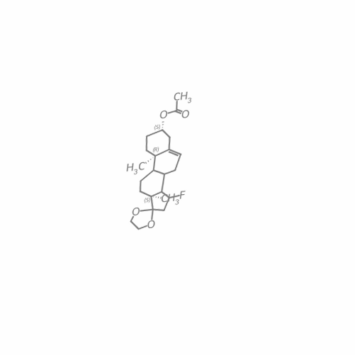 CC(=O)O[C@H]1CC[C@@]2(C)C(=CCC3C2CC[C@@]2(C)C3C(F)CC23OCCO3)C1